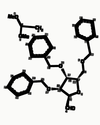 COC(C)OC.O=C[C@@H]1O[C@@H](COCc2ccccc2)[C@@H](OCc2ccccc2)[C@H]1OCc1ccccc1